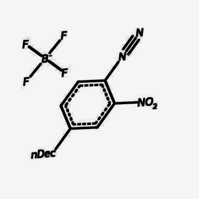 CCCCCCCCCCc1ccc([N+]#N)c([N+](=O)[O-])c1.F[B-](F)(F)F